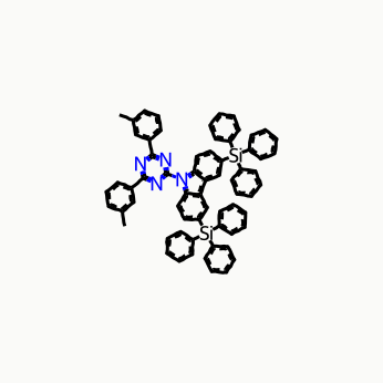 Cc1cccc(-c2nc(-c3cccc(C)c3)nc(-n3c4ccc([Si](c5ccccc5)(c5ccccc5)c5ccccc5)cc4c4cc([Si](c5ccccc5)(c5ccccc5)c5ccccc5)ccc43)n2)c1